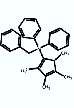 CC1=C(C)C(C)C([Si](Cc2ccccc2)(c2ccccc2)c2ccccc2)=C1C